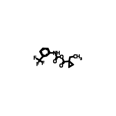 CCC1(C(=O)OC(=O)Nc2cccc(C(F)(F)F)c2)CC1